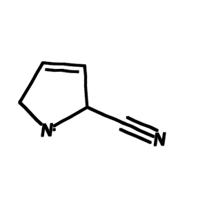 N#CC1C=CC[N]1